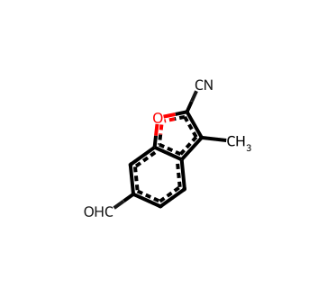 Cc1c(C#N)oc2cc(C=O)ccc12